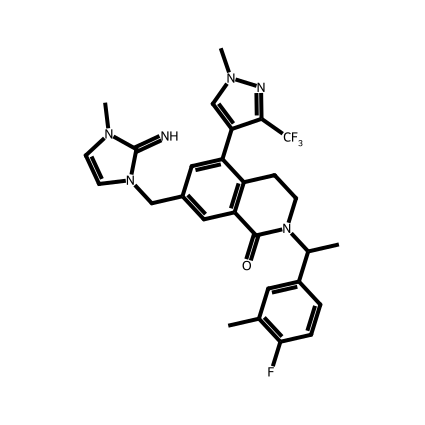 Cc1cc(C(C)N2CCc3c(cc(Cn4ccn(C)c4=N)cc3-c3cn(C)nc3C(F)(F)F)C2=O)ccc1F